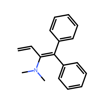 C=CC(=C(c1ccccc1)c1ccccc1)N(C)C